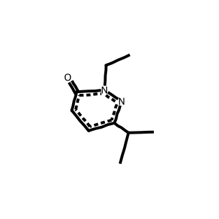 CCn1nc(C(C)C)ccc1=O